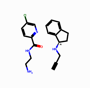 C#CCN[C@@H]1CCc2ccccc21.NCCNC(=O)c1ccc(Cl)cn1